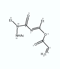 C=CC(=O)OC(CC)=NC(=O)N(CC)NC(C)=O